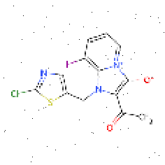 O=C(c1c([O-])[n+]2cccc(I)c2n1Cc1cnc(Cl)s1)C(F)(F)F